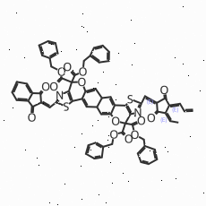 C=C/C=C1/C(=O)/C(=C/c2nc3c(s2)C2=CC4C=C5OC(C(=O)OCc6ccccc6)(C(=O)OCc6ccccc6)c6nc(C=C7C(=O)c8ccccc8C7=O)sc6C5=CC4C=C2OC3(C(=O)OCc2ccccc2)C(=O)OCc2ccccc2)C(=O)/C1=C/C